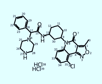 Cc1onc2c1c(=O)n(C1CCCC(NC(=O)C(c3ccccc3)N3CCNCC3)C1)c1cccc(Cl)c21.Cl.Cl